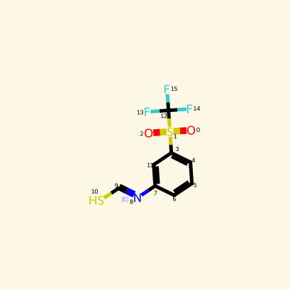 O=S(=O)(c1cccc(/N=C/S)c1)C(F)(F)F